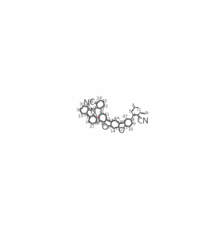 C=C/C(C#N)=C(\C=C/C)c1ccc2oc3cc4oc5ccc(-c6cccc(C#N)c6-n6c7ccccc7c7ccccc76)cc5c4cc3c2c1